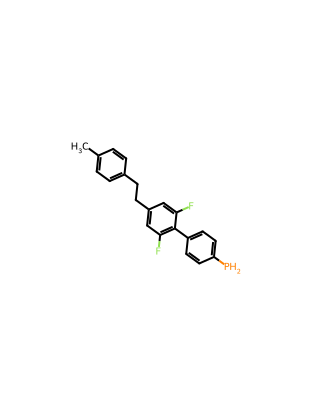 Cc1ccc(CCc2cc(F)c(-c3ccc(P)cc3)c(F)c2)cc1